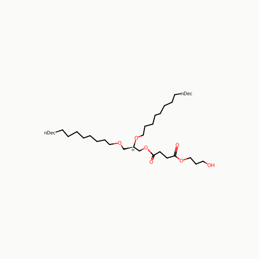 CCCCCCCCCCCCCCCCCCOC[C@H](COC(=O)CCC(=O)OCCCO)OCCCCCCCCCCCCCCCCCC